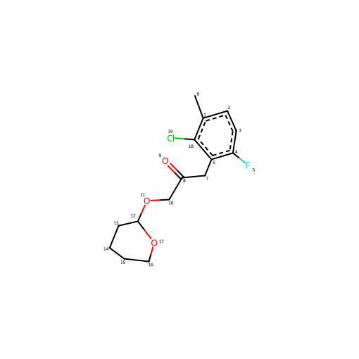 Cc1ccc(F)c(CC(=O)COC2CCCCO2)c1Cl